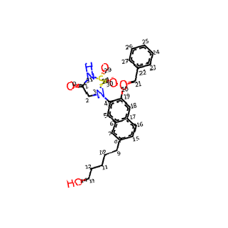 O=C1CN(c2cc3cc(CCCCCO)ccc3cc2OCc2ccccc2)S(=O)(=O)N1